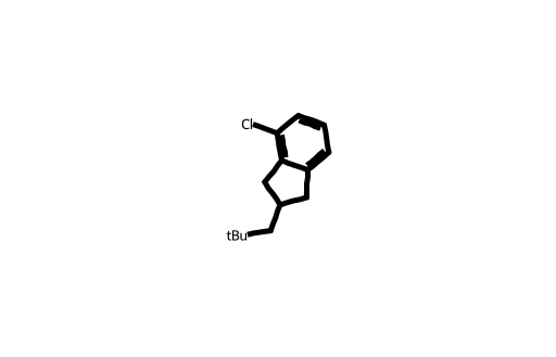 CC(C)(C)CC1Cc2cccc(Cl)c2C1